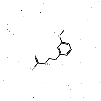 COc1cccc(CCNC(N)=S)c1